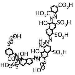 Nc1c(N=Nc2ccc3c(O)c(N=Nc4cc(C(=O)O)ccc4C(=O)O)c(S(=O)(=O)O)cc3c2S(=O)(=O)O)cc(S(=O)(=O)O)c2cc(SOOO)c(N=Nc3ccc4cc(SOOO)c(N=Nc5cc(SOOO)ccc5C(=O)O)c(O)c4c3)c(O)c12